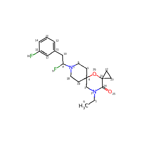 CCN1CC2(CCN(C(F)Cc3cccc(F)c3)CC2)OC2(CC2)C1=O